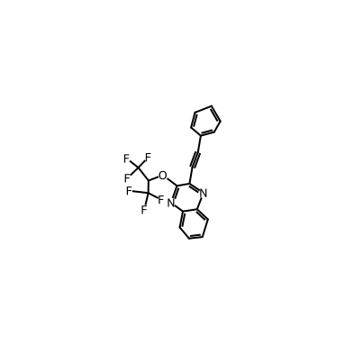 FC(F)(F)C(Oc1nc2ccccc2nc1C#Cc1ccccc1)C(F)(F)F